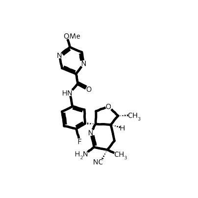 COc1cnc(C(=O)Nc2ccc(F)c([C@]34CO[C@H](C)[C@H]3C[C@](C)(C#N)C(N)=N4)c2)cn1